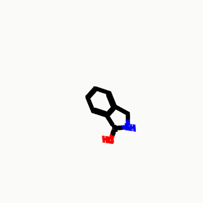 OB1NCC2=CCCC=C12